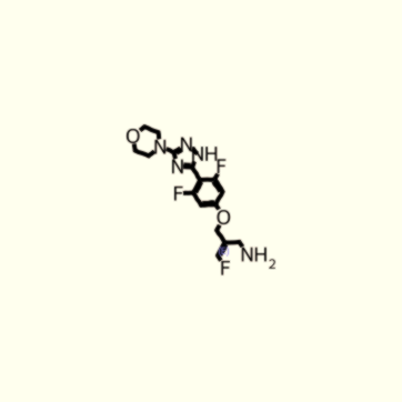 NC/C(=C\F)COc1cc(F)c(-c2nc(N3CCOCC3)n[nH]2)c(F)c1